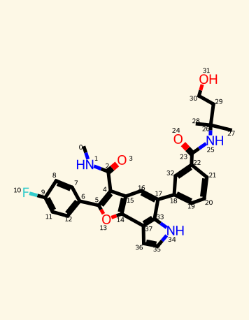 CNC(=O)c1c(-c2ccc(F)cc2)oc2c1cc(-c1cccc(C(=O)NC(C)(C)CCO)c1)c1[nH]ccc12